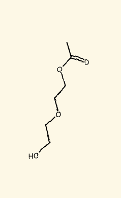 CC(=O)OCCOCCO